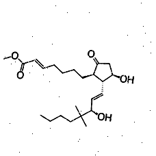 CCCCC(C)(C)[C@H](O)/C=C/[C@H]1[C@H](O)CC(=O)[C@@H]1CCCC/C=C/C(=O)OC